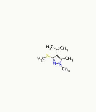 CSc1nn(C)c(C)c1C(C)C